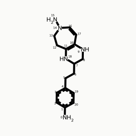 Nc1ccc(CCC2CNC3=C(CCN(N)C=C3)N2)cc1